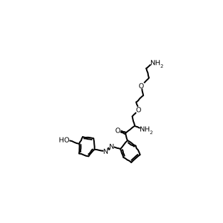 NCCOCCOCC(N)C(=O)c1ccccc1N=Nc1ccc(O)cc1